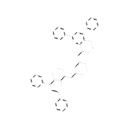 C1=C(/C=C2\CCCc3c(-c4ccccc4)cc(-c4ccccc4)[o+]c32)CCC/C1=C/C1=C2OC(c3ccccc3)=CC(c3ccccc3)=C2CCC1